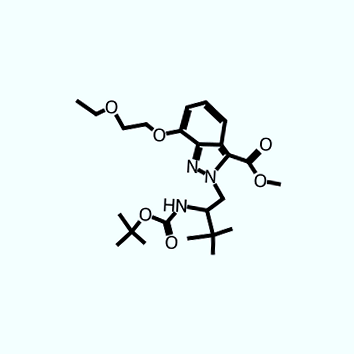 CCOCCOc1cccc2c(C(=O)OC)n(CC(NC(=O)OC(C)(C)C)C(C)(C)C)nc12